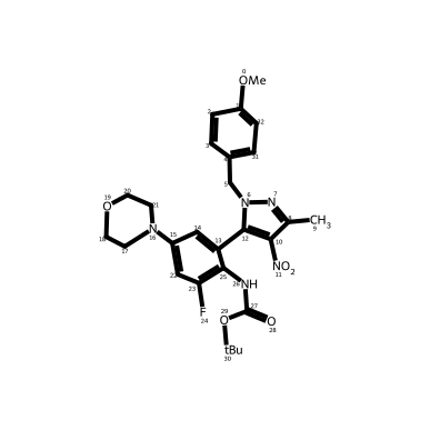 COc1ccc(Cn2nc(C)c([N+](=O)[O-])c2-c2cc(N3CCOCC3)cc(F)c2NC(=O)OC(C)(C)C)cc1